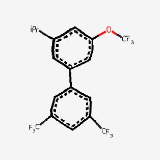 CC(C)c1cc(OC(F)(F)F)cc(-c2cc(C(F)(F)F)cc(C(F)(F)F)c2)c1